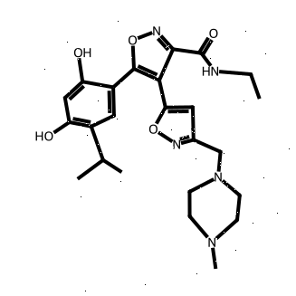 CCNC(=O)c1noc(-c2cc(C(C)C)c(O)cc2O)c1-c1cc(CN2CCN(C)CC2)no1